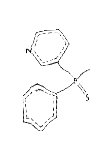 CP(=S)(c1ccccc1)c1cccnc1